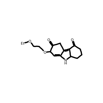 CCOCCOC1C=C2NC3CCCC(=O)C3=C2CC1=O